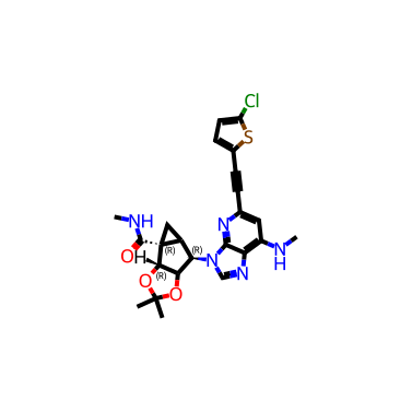 CNC(=O)[C@]12CC1[C@@H](n1cnc3c(NC)cc(C#Cc4ccc(Cl)s4)nc31)C1OC(C)(C)O[C@@H]12